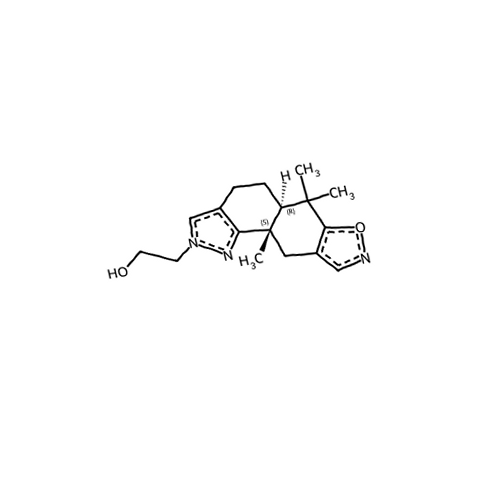 CC1(C)c2oncc2C[C@]2(C)c3nn(CCO)cc3CC[C@@H]12